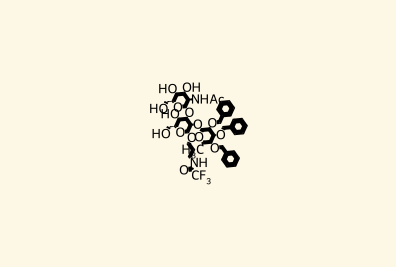 CC(=O)N[C@H]1[C@@H](O[C@H]2[C@@H](O)[C@@H](CO)O[C@@H](OCCCNC(=O)C(F)(F)F)[C@@H]2O[C@@H]2O[C@@H](C)[C@@H](OCc3ccccc3)[C@@H](OCc3ccccc3)[C@@H]2OCc2ccccc2)O[C@H](CO)[C@@H](O)[C@@H]1O